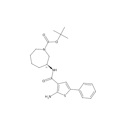 CC(C)(C)OC(=O)N1CCCC[C@H](NC(=O)c2cc(-c3ccccc3)sc2N)C1